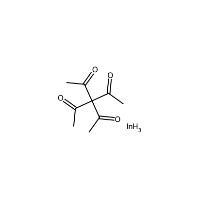 CC(=O)C(C(C)=O)(C(C)=O)C(C)=O.[InH3]